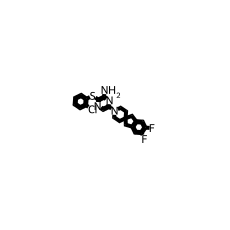 Nc1nc(N2CCC3(CC2)Cc2cc(F)c(F)cc2C3)cnc1Sc1ccccc1Cl